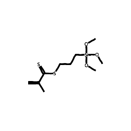 C=C(C)C(=S)SCCC[Si](OC)(OC)OC